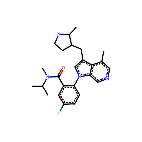 Cc1cncc2c1c(CC1CCNC1C)cn2-c1ccc(F)cc1C(=O)N(C)C(C)C